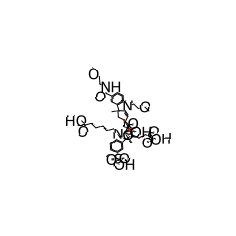 COCCNC(=O)c1ccc2c(c1)C(C)(CCCS(=O)(=O)O)/C(=C\C=C\C1=[N+](CCCCCC(=O)O)c3ccc(S(=O)(=O)O)cc3C1(C)CCCS(=O)(=O)O)N2CCOC